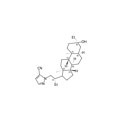 CC[C@H](Cn1nccc1C#N)C1CC[C@H]2[C@@H]3CC[C@@H]4C[C@@](O)(CC)CC[C@]4(C)[C@H]3CC[C@]12C